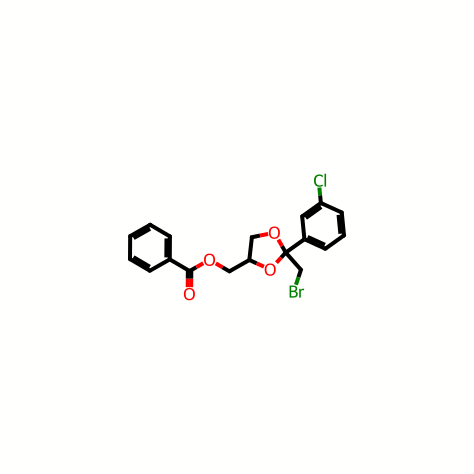 O=C(OCC1COC(CBr)(c2cccc(Cl)c2)O1)c1ccccc1